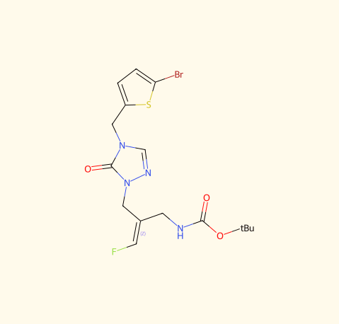 CC(C)(C)OC(=O)NC/C(=C/F)Cn1ncn(Cc2ccc(Br)s2)c1=O